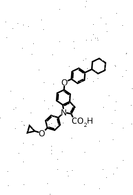 O=C(O)c1cc2cc(Oc3ccc(C4CCCCC4)cc3)ccc2n1-c1ccc(OC2CC2)cc1